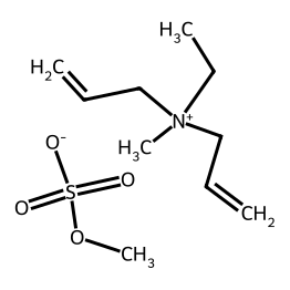 C=CC[N+](C)(CC)CC=C.COS(=O)(=O)[O-]